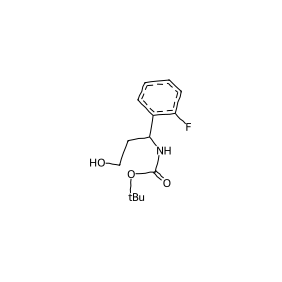 CC(C)(C)OC(=O)NC(CCO)c1ccccc1F